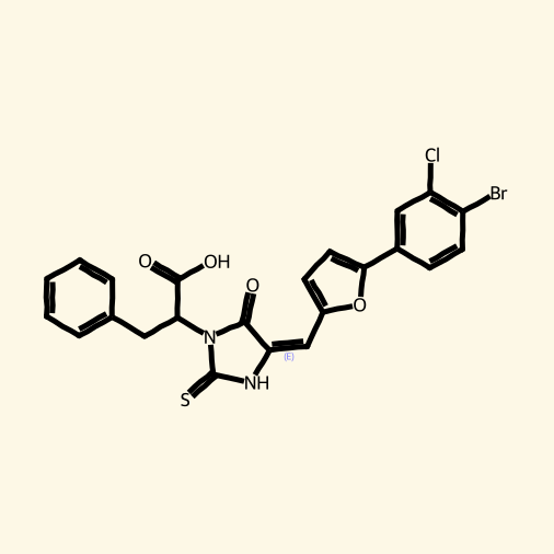 O=C(O)C(Cc1ccccc1)N1C(=O)/C(=C\c2ccc(-c3ccc(Br)c(Cl)c3)o2)NC1=S